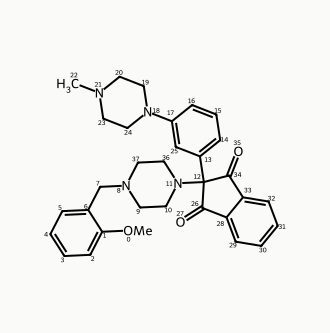 COc1ccccc1CN1CCN(C2(c3cccc(N4CCN(C)CC4)c3)C(=O)c3ccccc3C2=O)CC1